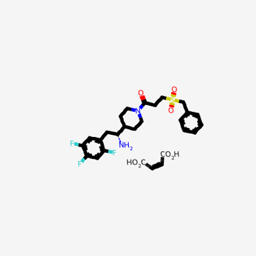 N[C@H](Cc1cc(F)c(F)cc1F)C1CCN(C(=O)CCS(=O)(=O)Cc2ccccc2)CC1.O=C(O)/C=C\C(=O)O